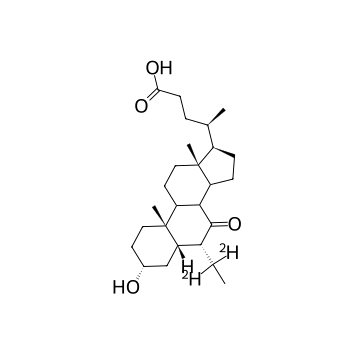 [2H]C([2H])(C)[C@H]1C(=O)C2C3CC[C@H]([C@H](C)CCC(=O)O)[C@@]3(C)CCC2[C@@]2(C)CC[C@@H](O)C[C@@H]12